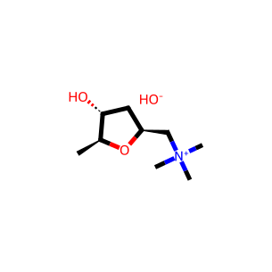 C[C@@H]1O[C@H](C[N+](C)(C)C)C[C@H]1O.[OH-]